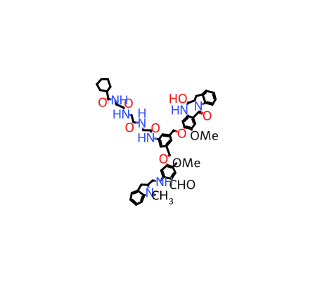 COc1cc(C=O)c(NCC2Cc3ccccc3N2C)cc1OCc1cc(COc2cc3c(cc2OC)C(=O)N2c4ccccc4CC2[C@@H](O)N3)cc(NC(=O)CNC(=O)CNC(=O)CNC(=O)C2CCCCC2)c1